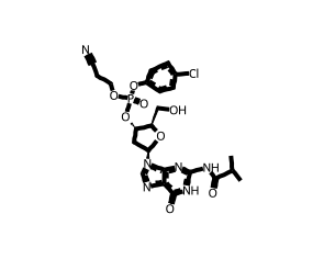 CC(C)C(=O)Nc1nc2c(ncn2[C@H]2C[C@H](OP(=O)(OCCC#N)Oc3ccc(Cl)cc3)[C@@H](CO)O2)c(=O)[nH]1